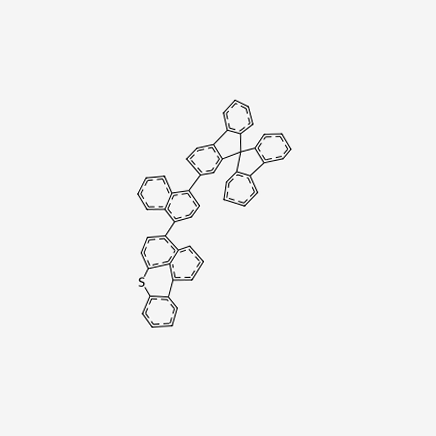 c1ccc2c(c1)Sc1ccc(-c3ccc(-c4ccc5c(c4)C4(c6ccccc6-c6ccccc64)c4ccccc4-5)c4ccccc34)c3cccc-2c13